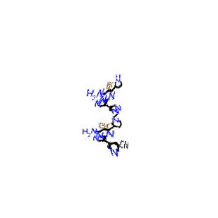 N#Cc1cncc(-c2cnn3c(N)c(Br)c(C4CCCN(CCn5cc(-c6cnn7c(N)c(Br)c(C8CCCNC8)nc67)cn5)C4)nc23)c1